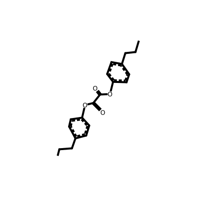 CCCc1ccc(OC(=O)C(=O)Oc2ccc(CCC)cc2)cc1